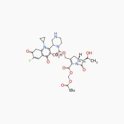 CC(O)[C@H]1C(=O)N2C(C(=O)OCOC(=O)C(C)(C)C)=C(COC(=O)N3CCNCC3c3c(C(=O)O)c(=O)c4c(n3C3CC3)CC(=O)C(F)=C4)C[C@H]12